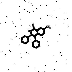 O=c1[nH]c(-c2ccccc2)c(-c2ccccc2)c2ccc(C(F)(F)F)cc12